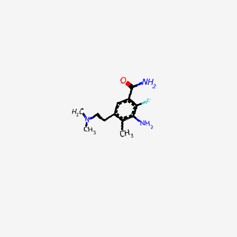 Cc1c(CCN(C)C)cc(C(N)=O)c(F)c1N